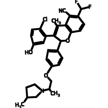 CC1=C(c2cc(O)ccc2Cl)C(c2ccc(OCC(C)N3CCC(C)C3)cc2)Oc2ccc(C(F)F)c(C#N)c21